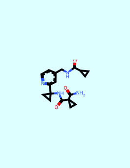 NC(=O)C1(C(=O)NC2(c3cc(CNC(=O)C4CC4)ccn3)CC2)CC1